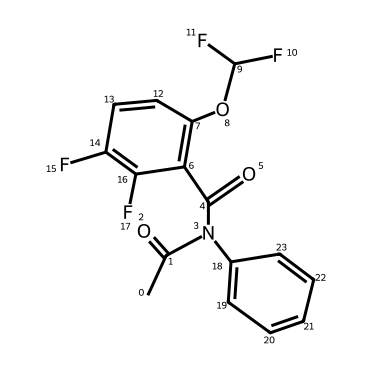 CC(=O)N(C(=O)c1c(OC(F)F)ccc(F)c1F)c1ccccc1